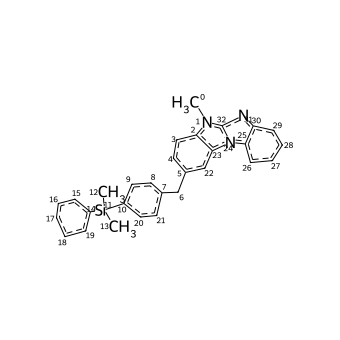 Cn1c2ccc(Cc3ccc([Si](C)(C)c4ccccc4)cc3)cc2n2c3ccccc3nc12